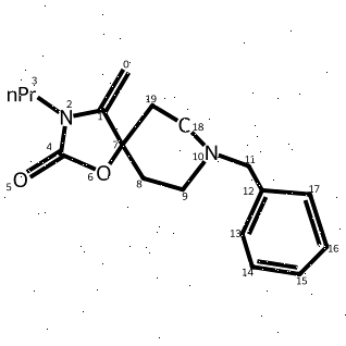 C=C1N(CCC)C(=O)OC12CCN(Cc1ccccc1)CC2